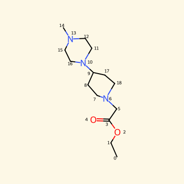 CCOC(=O)CN1CCC(N2CCN(C)CC2)CC1